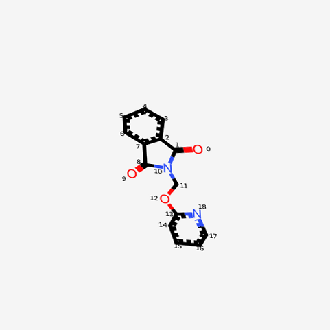 O=C1c2ccccc2C(=O)N1COc1ccccn1